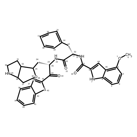 COc1cccc2[nH]c(C(=O)N[C@@H](Cc3ccccc3)C(=O)N[C@@H](CC3OCC4NCCC43)C(=O)c3nc4ccccc4s3)cc12